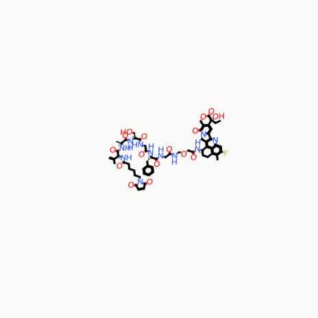 C=C(C)[C@H](NC(=O)CCCCCN1C(=O)C=CC1=O)C(=O)N[C@@H](C)C(=O)N[C@@H](CO)C(=O)NCC(=O)N[C@@H](Cc1ccccc1)C(=O)NCC(=O)NCOCC(=O)N[C@H]1CCc2c(C)c(F)cc3nc4c(c1c23)Cn1c-4cc2c(c1=O)COC(=O)[C@]2(O)CC